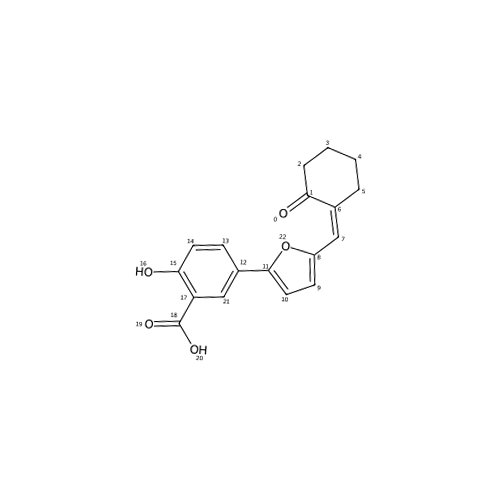 O=C1CCCCC1=Cc1ccc(-c2ccc(O)c(C(=O)O)c2)o1